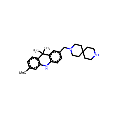 COc1ccc2c(c1)Nc1ccc(CN3CCC4(CCNCC4)CC3)cc1C2(C)C